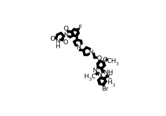 COc1cc2c(N[C@H](C)c3cccc(Br)c3)nc(C)nc2cc1OCCN1CCC(CN2CCC(c3cc(F)cc4c3CN(C3CCC(=O)NC3=O)C4=O)CC2)CC1